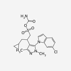 Cc1nn(C)c(-n2ccc3ccc(Cl)cc32)c1C(CC1CC1)CS(=O)(=O)OC(N)=O